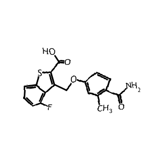 Cc1cc(OCc2c(C(=O)O)sc3cccc(F)c23)ccc1C(N)=O